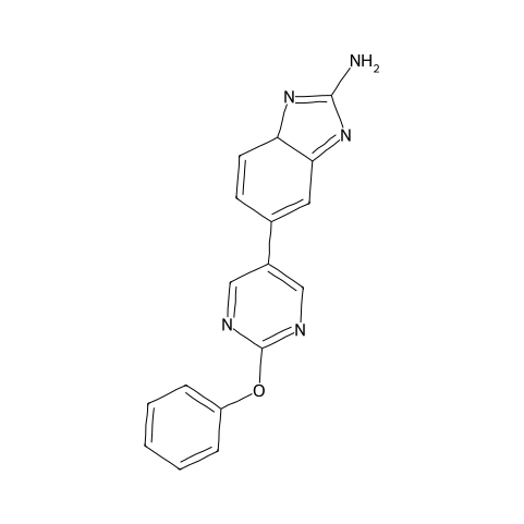 NC1=NC2C=CC(c3cnc(Oc4ccccc4)nc3)=CC2=N1